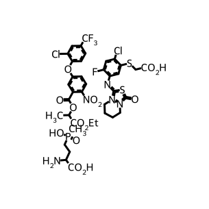 CCOC(=O)C(C)OC(=O)c1cc(Oc2ccc(C(F)(F)F)cc2Cl)ccc1[N+](=O)[O-].CP(=O)(O)CCC(N)C(=O)O.O=C(O)CSc1cc(N=c2sc(=O)n3n2CCCC3)c(F)cc1Cl